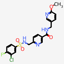 COc1ccc(CNC(=O)c2ccc(CNS(=O)(=O)c3ccc(F)c(Cl)c3)nc2)cn1